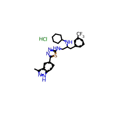 Cc1n[nH]c2ccc(-c3nnc(NCC(Cc4cccc(C(F)(F)F)c4)NC4CCCCC4)s3)cc12.Cl